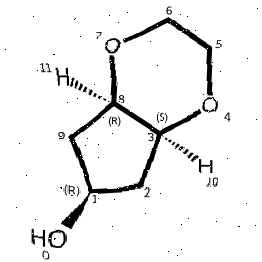 O[C@@H]1C[C@@H]2OCCO[C@@H]2C1